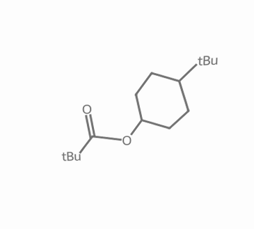 CC(C)(C)C(=O)OC1CCC(C(C)(C)C)CC1